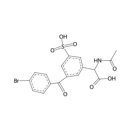 CC(=O)NC(C(=O)O)c1cc(C(=O)c2ccc(Br)cc2)cc(S(=O)(=O)O)c1